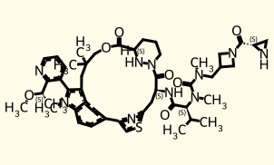 CO[C@@H](C)c1ncccc1-c1c2c3cc(ccc3n1C)-c1csc(n1)C[C@H](NC(=O)[C@H](C(C)C)N(C)C(=O)N(C)CC1CN(C(=O)[C@@H]3CN3)C1)C(=O)N1CCC[C@H](N1)C(=O)OCC(C)(C)C2